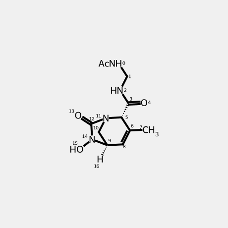 CC(=O)NCNC(=O)[C@@H]1C(C)=C[C@@H]2CN1C(=O)N2O